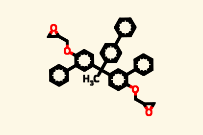 CC(c1ccc(-c2ccccc2)cc1)(c1ccc(OCC2CO2)c(-c2ccccc2)c1)c1ccc(OCC2CO2)c(-c2ccccc2)c1